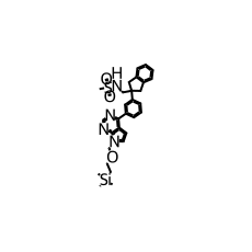 C[Si](C)(C)CCOCn1ccc2c(-c3cccc(C4(CNS(C)(=O)=O)Cc5ccccc5C4)c3)ncnc21